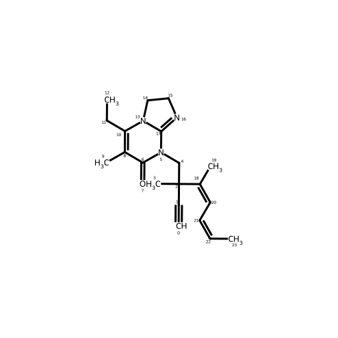 C#CC(C)(CN1C(=O)C(C)=C(CC)N2CCN=C12)/C(C)=C\C=C/C